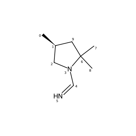 C[C@@H]1CN(C=N)C(C)(C)C1